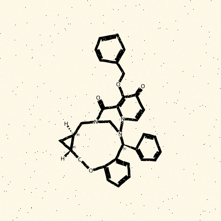 O=C1c2c(OCc3ccccc3)c(=O)ccn2N2CN1C[C@@H]1C[C@H]1COc1ccccc1[C@@H]2c1ccccc1